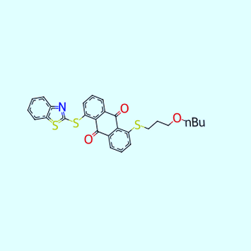 CCCCOCCCSc1cccc2c1C(=O)c1cccc(Sc3nc4ccccc4s3)c1C2=O